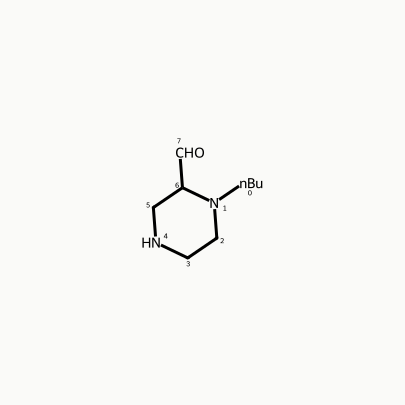 CCCCN1CCNCC1C=O